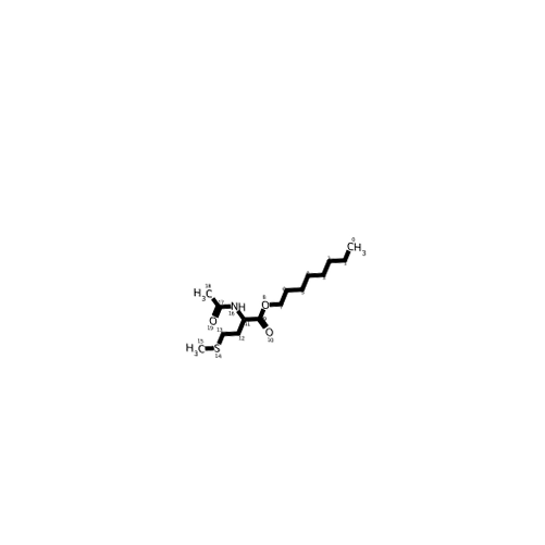 CCCCCCCCOC(=O)C(CCSC)NC(C)=O